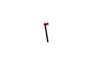 CCCCCCCCCCCCCCCCCCCCCCC(NCCC)C(=O)O